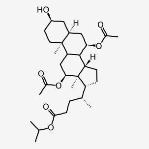 CC(=O)O[C@H]1CC2C([C@H](OC(C)=O)C[C@@H]3C[C@H](O)CC[C@]23C)[C@@H]2CC[C@H]([C@H](C)CCC(=O)OC(C)C)[C@@]12C